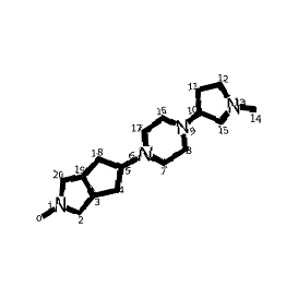 CN1CC2CC(N3CCN(C4CCN(C)C4)CC3)CC2C1